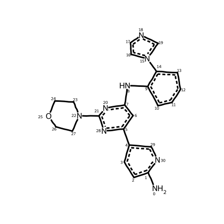 Nc1ccc(-c2cc(Nc3ccccc3-n3ccnc3)nc(N3CCOCC3)n2)cn1